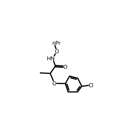 CCCONC(=O)C(C)Oc1ccc(Cl)cc1